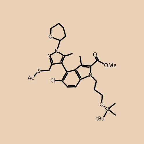 COC(=O)c1c(C)c2c(-c3c(CSC(C)=O)nn(C4CCCCO4)c3C)c(Cl)ccc2n1CCCO[Si](C)(C)C(C)(C)C